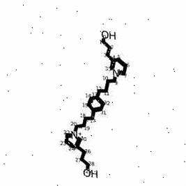 OCCCc1ccc[n+](CCCCc2ccc(CCCC[n+]3cccc(CCCO)c3)cc2)c1